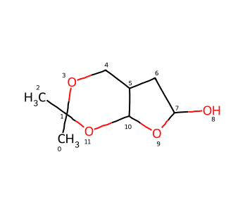 CC1(C)OCC2CC(O)OC2O1